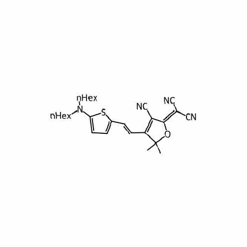 CCCCCCN(CCCCCC)c1ccc(C=CC2=C(C#N)C(=C(C#N)C#N)OC2(C)C)s1